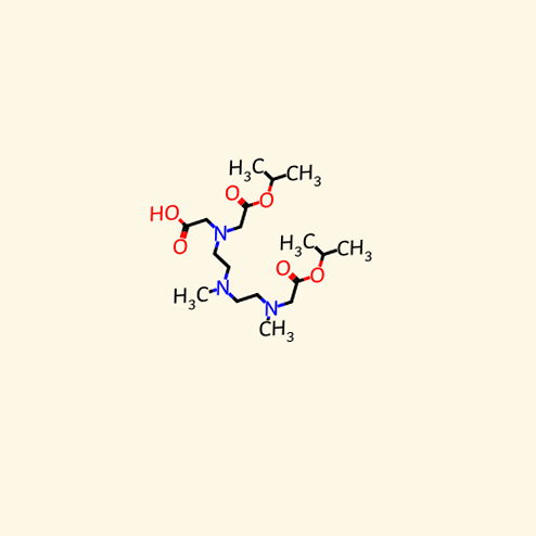 CC(C)OC(=O)CN(C)CCN(C)CCN(CC(=O)O)CC(=O)OC(C)C